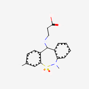 Cc1ccc2c(c1)S(=O)(=O)N(C)c1ccccc1C2NCCC(=O)O